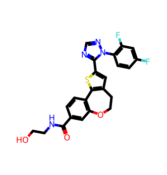 O=C(NCCO)c1ccc2c(c1)OCCc1cc(-c3ncnn3-c3ccc(F)cc3F)sc1-2